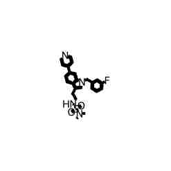 CN(C)S(=O)(=O)NCCc1cn(Cc2cccc(F)c2)c2cc(-c3ccncc3)ccc12